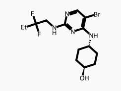 CCC(F)(F)CNc1ncc(Br)c(N[C@H]2CC[C@H](O)CC2)n1